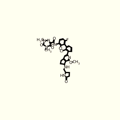 COc1nc(-c2cccc(-c3c(F)ccc(NC(=O)c4nn(C)c(=O)n(C)c4=O)c3Cl)c2Cl)cc2c1C(NCC1CCC(=O)N1)CC2